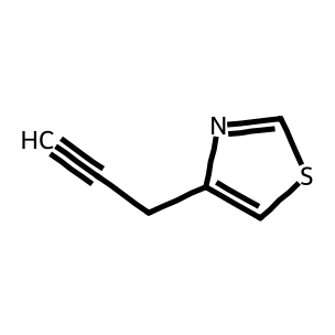 C#CCc1cscn1